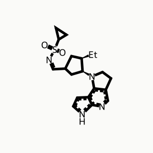 CC[C@@H]1CC(/C=N\S(=O)(=O)C2CC2)C[C@@H]1N1CCc2cnc3[nH]ccc3c21